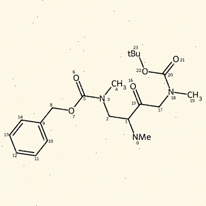 CNC(CN(C)C(=O)OCc1ccccc1)C(=O)CN(C)C(=O)OC(C)(C)C